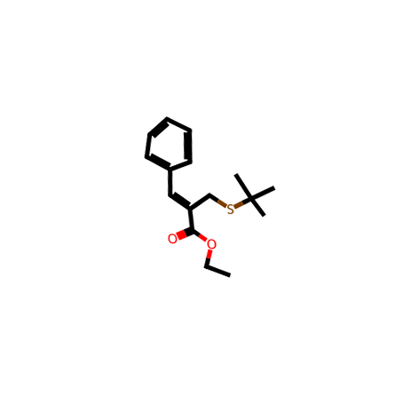 CCOC(=O)/C(=C/c1ccccc1)CSC(C)(C)C